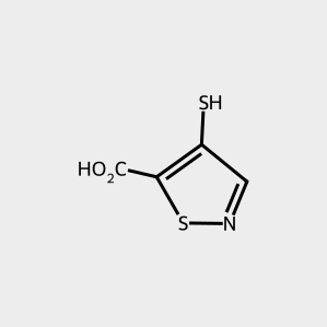 O=C(O)c1sncc1S